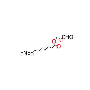 CCCCCCCCCCCCCCCC(=O)OC(C)OC=O